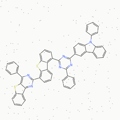 c1ccc(-c2nc(-c3ccc4c(c3)c3ccccc3n4-c3ccccc3)nc(-c3cccc4sc5c(-c6nc(-c7ccccc7)c7sc8ccccc8c7n6)cccc5c34)n2)cc1